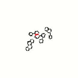 c1c2ccccc2c2c(c#1)c1ccccc1n2-c1ccc(-c2ccc(N(c3ccc4c(ccc5c6ccccc6ccc45)c3)c3ccccc3-c3ccccc3)cc2)c(-c2ccccc2)c1